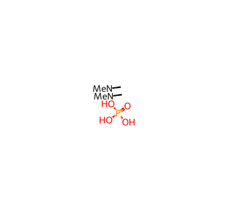 CNC.CNC.O=P(O)(O)O